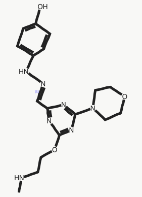 CNCCOc1nc(/C=N/Nc2ccc(O)cc2)nc(N2CCOCC2)n1